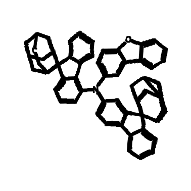 c1ccc2c(c1)-c1ccc(N(c3ccc4oc5ccccc5c4c3)c3cccc4c3-c3ccccc3C43C4CCC5CC(C4)CC3C5)cc1C21C2CCC3CC(C2)CC1C3